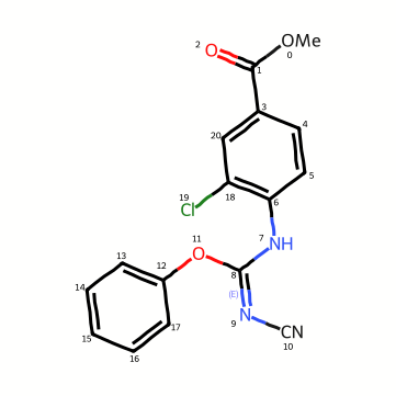 COC(=O)c1ccc(N/C(=N\C#N)Oc2ccccc2)c(Cl)c1